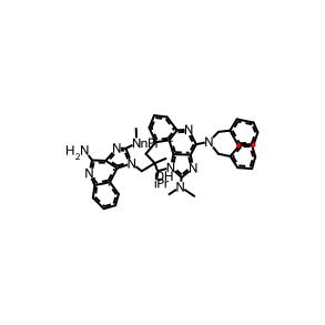 CCCN(C)c1nc2c(N)nc3ccccc3c2n1CC(C)(O)Cc1cccc2nc(N(Cc3ccccc3)Cc3ccccc3)c3nc(N(C)C)n(CC(C)C)c3c12